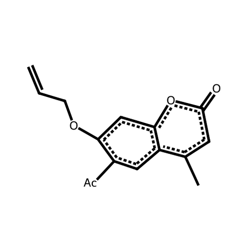 C=CCOc1cc2oc(=O)cc(C)c2cc1C(C)=O